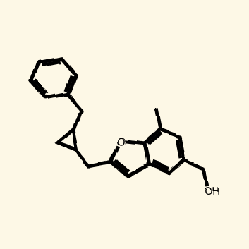 Cc1cc(CO)cc2cc(CC3CC3Cc3ccccc3)oc12